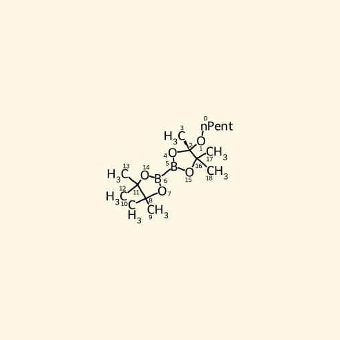 CCCCCO[C@@]1(C)OB(B2OC(C)(C)C(C)(C)O2)OC1(C)C